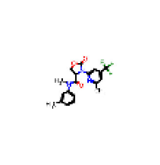 Cc1cccc(N(C)C(=O)C2COC(=O)N2c2cc(C(F)(F)F)cc(C)n2)c1